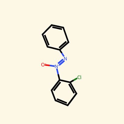 [O-][N+](=Nc1ccccc1)c1ccccc1Cl